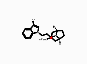 CCCCCC1C[C@H]2CC[C@@H](C1)N2CCCn1cc(C(C)=O)c2ccccc21